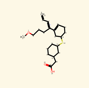 C=C/C=C(\CCCOC)C1=CCCC(SC2CCCC(CC(=O)O)C2)C1